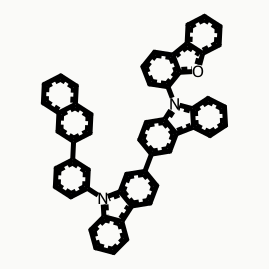 c1cc(-c2ccc3ccccc3c2)cc(-n2c3ccccc3c3ccc(-c4ccc5c(c4)c4ccccc4n5-c4cccc5c4oc4ccccc45)cc32)c1